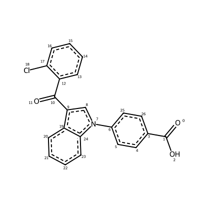 O=C(O)c1ccc(-n2cc(C(=O)c3ccccc3Cl)c3ccccc32)cc1